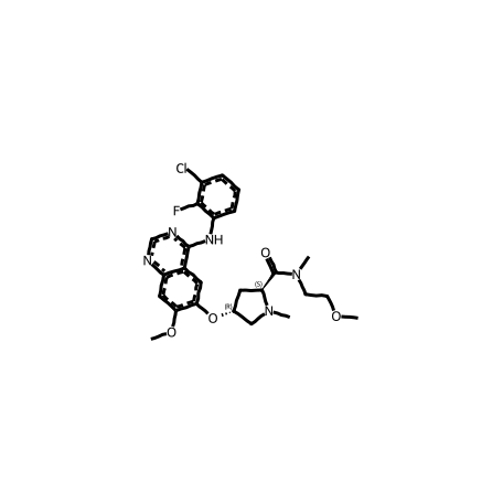 COCCN(C)C(=O)[C@@H]1C[C@@H](Oc2cc3c(Nc4cccc(Cl)c4F)ncnc3cc2OC)CN1C